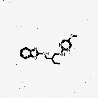 CCC(CNc1ncc(SC)cn1)CNc1nc2ccccc2o1